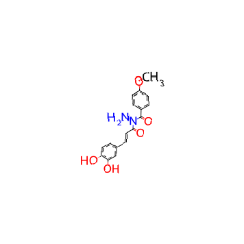 COc1ccc(C(=O)N(N)C(=O)/C=C/c2ccc(O)c(O)c2)cc1